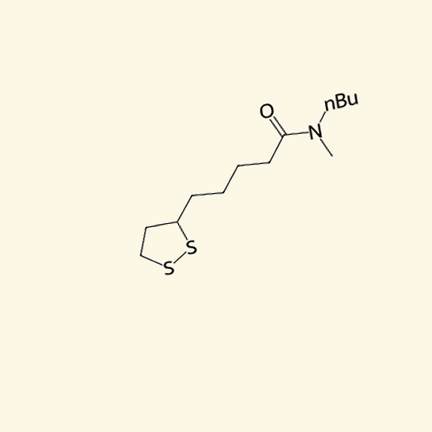 CCCCN(C)C(=O)CCCCC1CCSS1